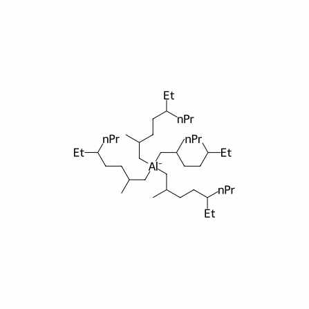 CCCC(CC)CCC(C)[CH2][Al-]([CH2]C(C)CCC(CC)CCC)([CH2]C(C)CCC(CC)CCC)[CH2]C(C)CCC(CC)CCC